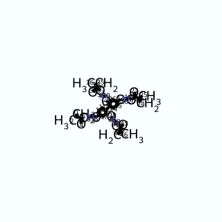 C=C(C)C(=O)O/C=C/Oc1ccc(-c2ccc(O/C=C/OC(=O)C(=C)C)cc2O/C=C/OC(=O)C(=C)C)c(O/C=C/OC(=O)C(=C)C)c1